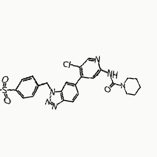 CS(=O)(=O)c1ccc(Cn2nnc3ccc(-c4cc(NC(=O)N5CCCCC5)ncc4Cl)cc32)cc1